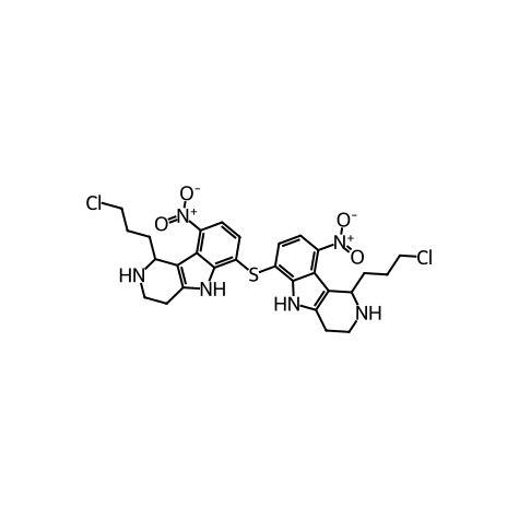 O=[N+]([O-])c1ccc(Sc2ccc([N+](=O)[O-])c3c4c([nH]c23)CCNC4CCCCl)c2[nH]c3c(c12)C(CCCCl)NCC3